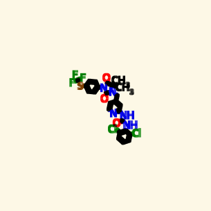 CC1(C)C(=O)N(c2ccc(SC(F)(F)F)cc2)C(=O)N1Cc1ccnc(NC(=O)Nc2c(Cl)cccc2Cl)c1